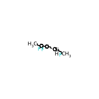 CCCc1ccc(-c2ccc(CC[C@H]3CC[Si@H](CCCC(C)F)CC3)cc2)c(F)c1F